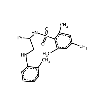 Cc1cc(C)c(S(=O)(=O)NC(CNc2ccccc2C)C(C)C)c(C)c1